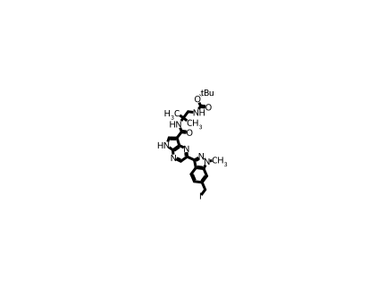 Cn1nc(-c2cnc3[nH]cc(C(=O)NC(C)(C)CNC(=O)OC(C)(C)C)c3n2)c2ccc(CI)cc21